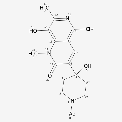 CC(=O)N1CCC(O)(c2cc3c(Cl)nc(C)c(O)c3n(C)c2=O)CC1